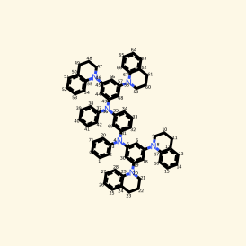 c1ccc(N(c2cc(N3CCCc4ccccc43)cc(N3CCCc4ccccc43)c2)c2cccc(N(c3ccccc3)c3cc(N4CCCc5ccccc54)cc(N4CCCc5ccccc54)c3)c2)cc1